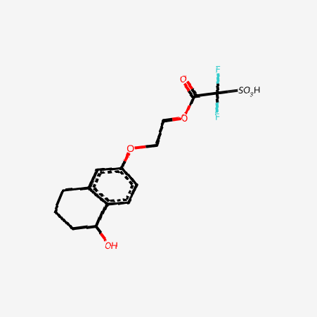 O=C(OCCOc1ccc2c(c1)CCCC2O)C(F)(F)S(=O)(=O)O